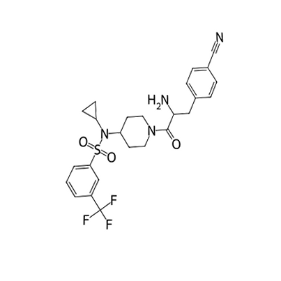 N#Cc1ccc(CC(N)C(=O)N2CCC(N(C3CC3)S(=O)(=O)c3cccc(C(F)(F)F)c3)CC2)cc1